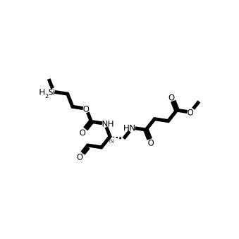 COC(=O)CCC(=O)NC[C@H](CC=O)NC(=O)OCC[SiH2]C